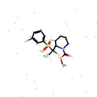 CC(C)(C)OC(=O)N1CCCCC1C(C)(F)S(=O)(=O)c1cccc(F)c1